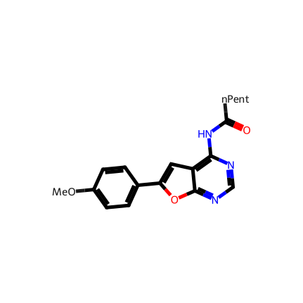 CCCCCC(=O)Nc1ncnc2oc(-c3ccc(OC)cc3)cc12